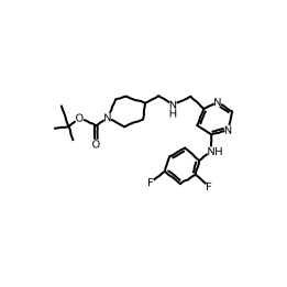 CC(C)(C)OC(=O)N1CCC(CNCc2cc(Nc3ccc(F)cc3F)ncn2)CC1